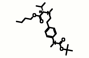 CCCCOC(=O)[C@H](C(C)C)N(C)CCc1ccc(N(C)C(=O)OC(C)(C)C)cc1